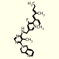 C\C=C/C(=C\C(C)=C\CC)c1ncc(CNc2ncnc(N3CCc4ncccc4C3)c2C)cc1F